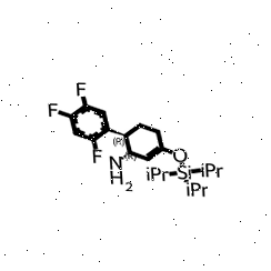 CC(C)[Si](OC1=C[C@H](N)[C@@H](c2cc(F)c(F)cc2F)CC1)(C(C)C)C(C)C